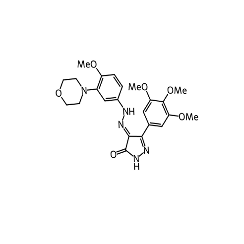 COc1ccc(N/N=C2/C(=O)NN=C2c2cc(OC)c(OC)c(OC)c2)cc1N1CCOCC1